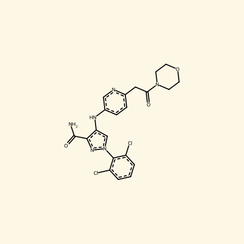 NC(=O)c1nn(-c2c(Cl)cccc2Cl)cc1Nc1ccc(CC(=O)N2CCOCC2)nc1